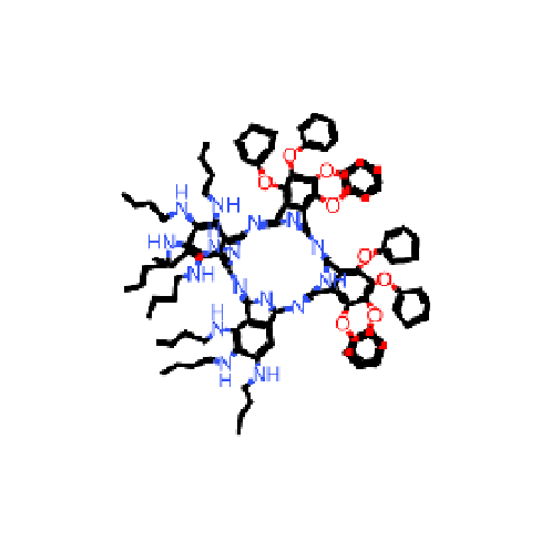 CCCCNc1cc2c(c(NCCCC)c1NCCCC)-c1nc-2nc2[nH]c(nc3nc(nc4c5c(NCCCC)c(NCCCC)c(NCCCC)c(NCCCC)c5c(n1)n4NCCCC)-c1c(Oc4ccccc4)c(Oc4ccccc4)c(Oc4ccccc4)c(Oc4ccccc4)c1-3)c1c(Oc3ccccc3)c(Oc3ccccc3)c(Oc3ccccc3)c(Oc3ccccc3)c21